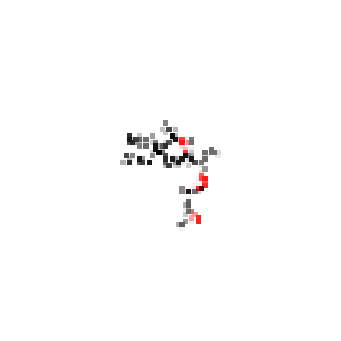 CCC(COC(CC)[Si](OC)(OC)OC)OCC1CO1